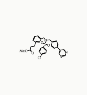 COC(=O)CCc1cccc(CN(Cc2ccc(-c3cncnc3)cc2)S(=O)(=O)c2ccc(Cl)cc2)c1